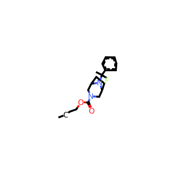 CCCCOC(=O)N1CC2CC(F)C(C1)N2C(C)(C)c1ccccc1